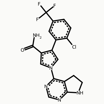 NC(=O)c1cn(-c2ncnc3c2CCN3)cc1-c1cc(C(F)(F)F)ccc1Cl